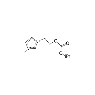 CC(C)OC(=O)OCC[n+]1ccn(C)c1